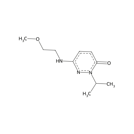 COCCNc1ccc(=O)n(C(C)C)n1